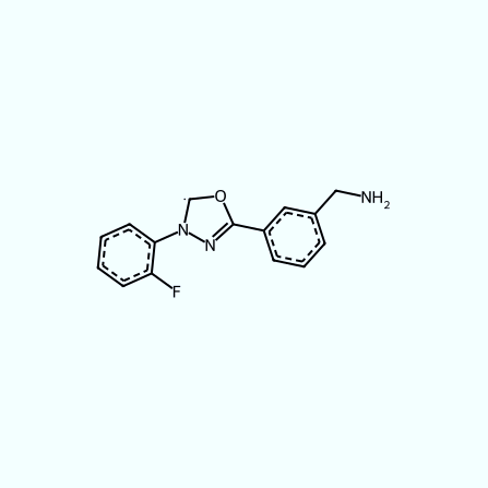 NCc1cccc(C2=NN(c3ccccc3F)[CH]O2)c1